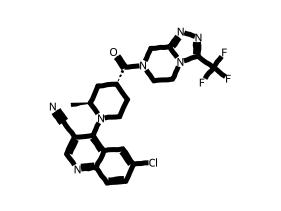 C[C@H]1C[C@H](C(=O)N2CCn3c(nnc3C(F)(F)F)C2)CCN1c1c(C#N)cnc2ccc(Cl)cc12